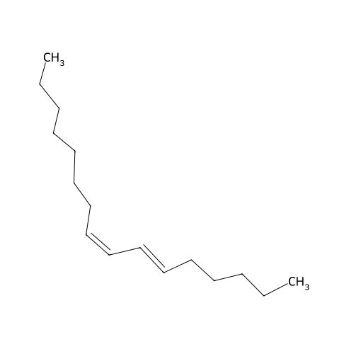 CCCCCC=C/C=C\CCCCCCC